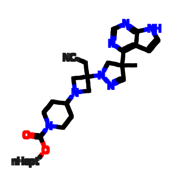 CCCCCCCOC(=O)N1CCC(N2CC(CC#N)(N3CC(C)(c4ncnc5[nH]ccc45)C=N3)C2)CC1